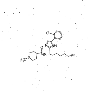 CC(=O)CCCCCC(NC(=O)C1CCN(C)CC1)c1ncc(-c2ccccc2Cl)[nH]1